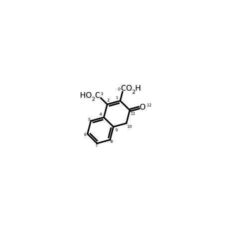 O=C(O)C1=C(C(=O)O)c2ccccc2CC1=O